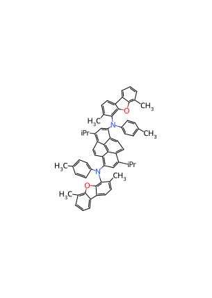 Cc1ccc(N(c2cc(C(C)C)c3ccc4c(N(c5ccc(C)cc5)c5c(C)ccc6c5oc5c(C)cccc56)cc(C(C)C)c5ccc2c3c54)c2c(C)ccc3c2oc2c(C)cccc23)cc1